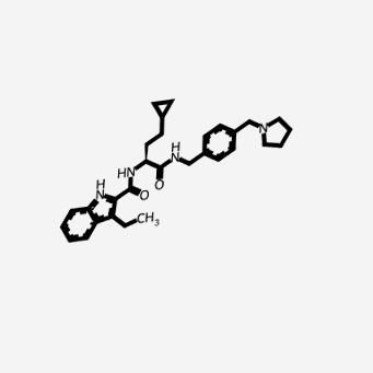 CCc1c(C(=O)N[C@@H](CCC2CC2)C(=O)NCc2ccc(CN3CCCC3)cc2)[nH]c2ccccc12